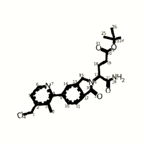 Cc1c(CCl)ccnc1-c1ccc2c(c1)CN(C(CCC(=O)OC(C)(C)C)C(N)=O)C2=O